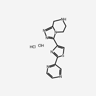 Cl.Cl.c1cnc(-c2nc(-c3nnc4n3CCNC4)cs2)cn1